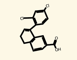 O=C(O)c1ccc2c(c1)C(c1ccc(Cl)cc1Cl)=CCC2